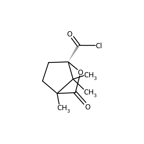 CC12CC[C@@](C(=O)Cl)(OC1=O)C2(C)C